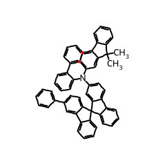 CC1(C)c2ccccc2-c2ccc(N(c3ccc4c(c3)C3(c5ccccc5-c5cc(-c6ccccc6)ccc53)c3ccccc3-4)c3ccccc3-c3ccccc3)cc21